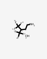 Cl.NCCC(C(F)(F)F)C(F)(F)F